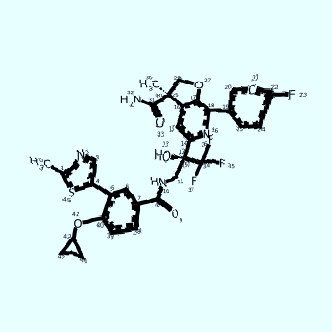 Cc1ncc(-c2cc(C(=O)NC[C@](O)(c3cc4c(c(-c5ccc(F)cc5)n3)OC[C@]4(C)C(N)=O)C(F)(F)F)ccc2OC2CC2)s1